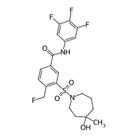 CC1(O)CCCN(S(=O)(=O)c2cc(C(=O)Nc3cc(F)c(F)c(F)c3)ccc2CF)CC1